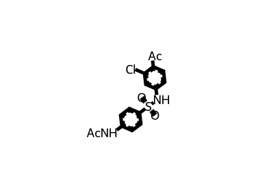 CC(=O)Nc1ccc(S(=O)(=O)Nc2ccc(C(C)=O)c(Cl)c2)cc1